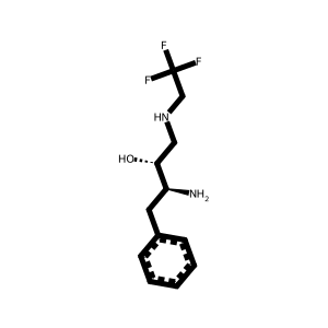 N[C@@H](Cc1ccccc1)[C@H](O)CNCC(F)(F)F